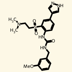 COc1cccc(CNC(=O)Nc2ccc(-c3cn[nH]c3)cc2S(=O)(=O)CCN(C)C)c1